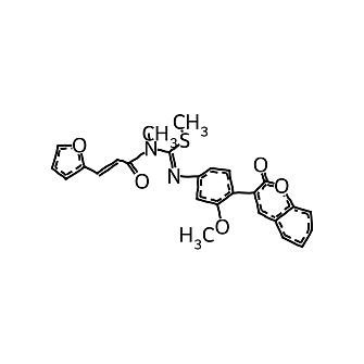 COc1cc(N=C(SC)N(C)C(=O)C=Cc2ccco2)ccc1-c1cc2ccccc2oc1=O